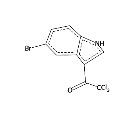 O=C(c1c[nH]c2ccc(Br)cc12)C(Cl)(Cl)Cl